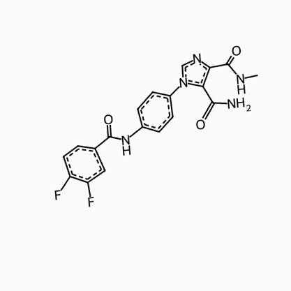 CNC(=O)c1ncn(-c2ccc(NC(=O)c3ccc(F)c(F)c3)cc2)c1C(N)=O